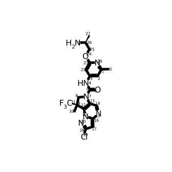 Cc1cc(NC(=O)N2C[C@](C)(C(F)(F)F)c3c2cnc2cc(Cl)nn32)cc(OC[C@H](C)N)n1